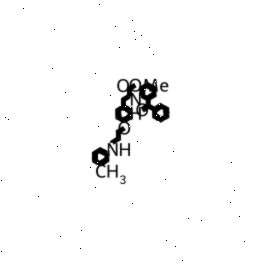 COC(=O)C(Cc1ccc(OCCCNc2cccc(C)c2)cc1)Nc1ccccc1C(=O)c1ccccc1